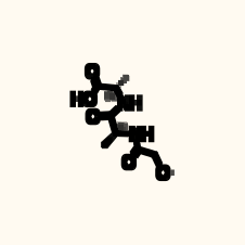 C[C@H](NC(=O)[C@H](C)NC(=O)C[O])C(=O)O